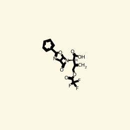 C=C(COC(=O)C(F)(F)F)[C@H](C(=O)O)N1C(=O)C2N=C(c3ccccc3)OC21